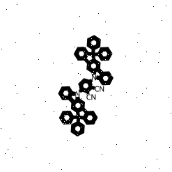 N#Cc1c(-n2c3ccccc3c3cc4c(cc32)-c2ccccc2C4(c2ccccc2)c2ccccc2)ccc(-n2c3ccccc3c3cc4c(cc32)-c2ccccc2C4(c2ccccc2)c2ccccc2)c1C#N